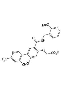 COc1ccccc1CNC(=O)c1cc(-c2cnc(C(F)(F)F)cc2C#N)c(Cl)cc1OCC(=O)O